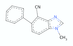 Cn1cnc2c(C#N)c(-c3ccccc3)ccc21